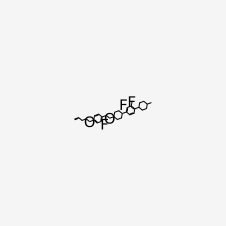 C=CCCOc1ccc(COC2CCC(c3ccc(C4CCC(C)CC4)c(F)c3F)CC2)c(F)c1